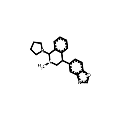 CN1CC(c2ccc3ocnc3c2)c2ccccc2C1N1CCCC1